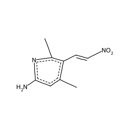 Cc1cc(N)nc(C)c1/C=C/[N+](=O)[O-]